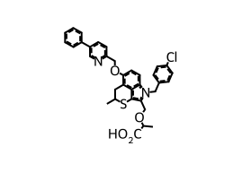 CC1Cc2c(OCc3ccc(-c4ccccc4)cn3)ccc3c2c(c(COC(C)C(=O)O)n3Cc2ccc(Cl)cc2)S1